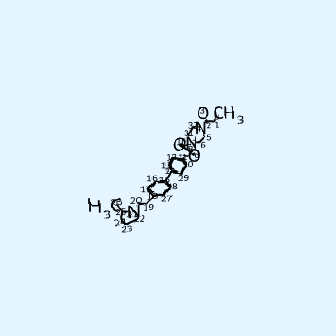 CCC(=O)N1CCN(S(=O)(=O)c2ccc(-c3ccc(CCN4CCC[C@H]4C)cc3)cc2)CC1